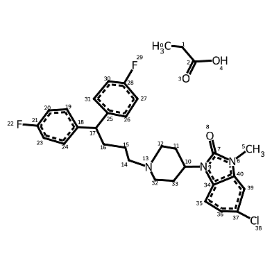 CCC(=O)O.Cn1c(=O)n(C2CCN(CCCC(c3ccc(F)cc3)c3ccc(F)cc3)CC2)c2ccc(Cl)cc21